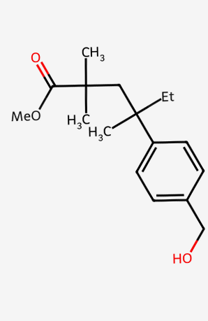 CCC(C)(CC(C)(C)C(=O)OC)c1ccc(CO)cc1